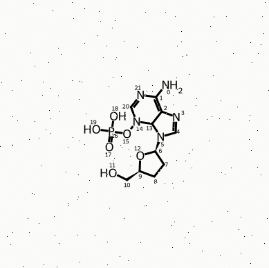 NC1=C2N=CN([C@H]3CC[C@@H](CO)O3)C2N(OP(=O)(O)O)C=N1